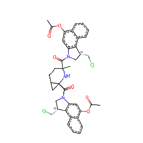 CC(=O)Oc1cc2c(c3ccccc13)[C@H](CCl)CN2C(=O)C1(C)CCC2CC2(C(=O)N2C[C@@H](CCl)c3c2cc(OC(C)=O)c2ccccc32)N1